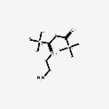 C[Si](C)(C)C(=O)C/C(=N/CCN)[Si](C)(C)C